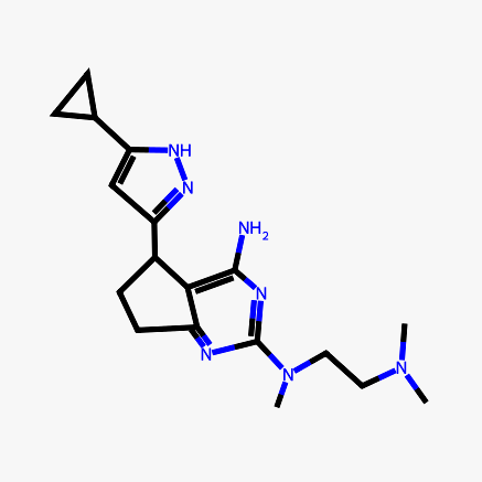 CN(C)CCN(C)c1nc(N)c2c(n1)CCC2c1cc(C2CC2)[nH]n1